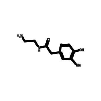 CC(C)(C)c1cc(CC(=O)NCCN)ccc1O